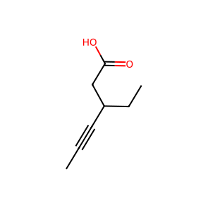 CC#CC(CC)CC(=O)O